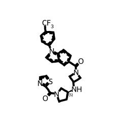 O=C(c1ccc2c(ccn2-c2ccc(C(F)(F)F)cc2)c1)N1CC(N[C@H]2CCN(C(=O)c3nccs3)C2)C1